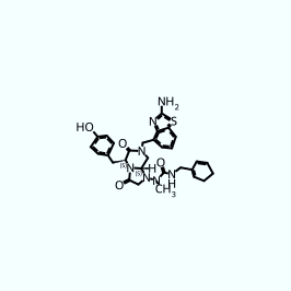 CN(C(=O)NCC1=CCCC=C1)N1CC(=O)N2[C@@H](Cc3ccc(O)cc3)C(=O)N(Cc3cccc4sc(N)nc34)C[C@@H]21